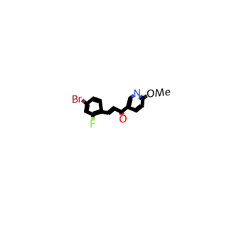 COc1ccc(C(=O)C=Cc2ccc(Br)cc2F)cn1